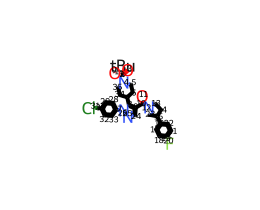 CC(C)(C)OC(=O)N1CCC(c2c(C(=O)N3CCC(c4ccc(F)cc4)C3)cnn2-c2ccc(Cl)cc2)CC1